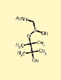 CC(=O)NCB(O)OC(C)(C)C(C)(C)O